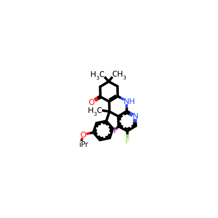 CC(C)Oc1cccc(C2(C)C3=C(CC(C)(C)CC3=O)Nc3ncc(F)c(I)c32)c1